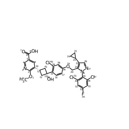 COc1ncc(C(=O)O)cc1[C@H]1C[C@](O)(c2ccc(OCc3c(C4CC4)cnn3-c3c(Cl)cc(F)cc3Cl)cc2Cl)C1